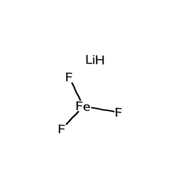 [F][Fe]([F])[F].[LiH]